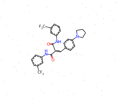 O=C(Nc1cccc(C(F)(F)F)c1)C(=Cc1ccc(N2CCCC2)cc1)C(=O)Nc1cccc(C(F)(F)F)c1